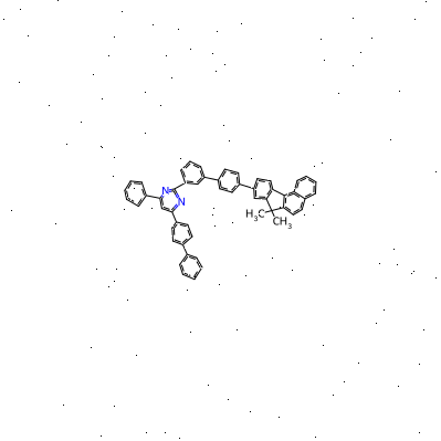 CC1(C)c2cc(-c3ccc(-c4cccc(-c5nc(-c6ccccc6)cc(-c6ccc(-c7ccccc7)cc6)n5)c4)cc3)ccc2-c2c1ccc1ccccc21